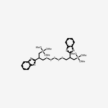 CO[Si](CC(CSSSSSCC(C[Si](OC)(OC)OC)c1nc2ccccc2s1)c1nc2ccccc2s1)(OC)OC